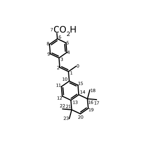 CC(=Cc1ccc(C(=O)O)cc1)c1ccc2c(c1)C(C)(C)C=CC2(C)C